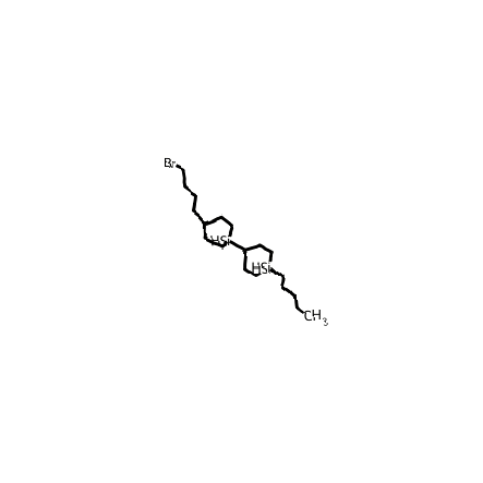 CCCCC[SiH]1CCC([SiH]2CCC(CCCCBr)CC2)CC1